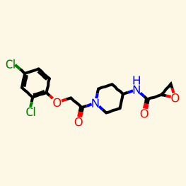 O=C(NC1CCN(C(=O)COc2ccc(Cl)cc2Cl)CC1)C1CO1